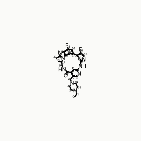 CCN1CCN(Cc2cnc3cc2C(=O)NCC(C)n2c(C)nc4c(F)cc(cc42)-c2nc(ncc2F)N3)CC1